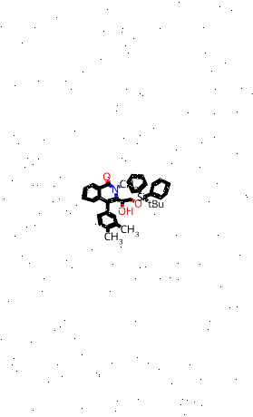 Cc1ccc(-c2c(C(O)CO[Si](c3ccccc3)(c3ccccc3)C(C)(C)C)n(C)c(=O)c3ccccc23)cc1C